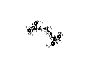 Cc1c([S+]([O-])c2ccc(N)cc2)cc(C(=O)NCC(=O)NCCC[N+](C)(C)CCCNC(=O)CNC(=O)c2cc([S+]([O-])c3ccc(N)cc3)c(C)n(-c3cccc(C(F)(F)F)c3)c2=O)c(=O)n1-c1cccc(C(F)(F)F)c1